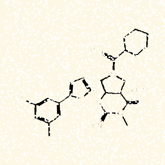 Cc1cc(N)cc(-c2ccc([C@]34CN(C(=O)C5CCCCC5)C[C@H]3C(=O)N(C)C(=N)N4)s2)c1